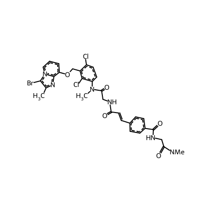 CNC(=O)CNC(=O)c1ccc(C=CC(=O)NCC(=O)N(C)c2ccc(Cl)c(COc3cccn4c(Br)c(C)nc34)c2Cl)cc1